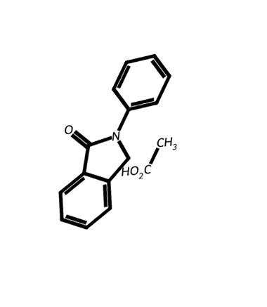 CC(=O)O.O=C1c2ccccc2CN1c1ccccc1